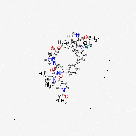 C=CC(=O)N1CCC(C(=O)N(C)[C@H](C(=O)N[C@H]2Cc3cccc(c3)-c3ccc4c(c3)c(c(-c3cccnc3[C@H](C)OC)n4CF)CC(C)(C)COC(=O)[C@@H]3CCCN(N3)C2=O)C(C)C)C1